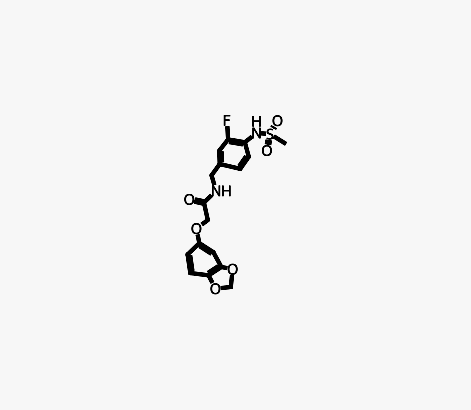 CS(=O)(=O)Nc1ccc(CNC(=O)COc2ccc3c(c2)OCO3)cc1F